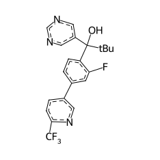 CC(C)(C)C(O)(c1cncnc1)c1ccc(-c2ccc(C(F)(F)F)nc2)cc1F